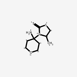 CC1CSC(=S)N1C1(N)CCOCC1